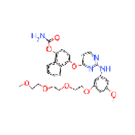 COCCOCCOCCOc1cc(Nc2nccc(Oc3ccc(OC(N)=O)c4ccccc34)n2)cc(OC)c1